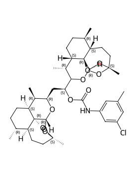 Cc1cc(Cl)cc(NC(=O)O[C@@H](C[C@H]2O[C@@H]3O[C@]4(C)CC[C@H]5[C@H](C)CC[C@@H]([C@H]2C)[C@@]35OO4)C2O[C@@H]3O[C@]4(C)CC[C@H]5[C@H](C)CC[C@@H]([C@H]2C)[C@@]35OO4)c1